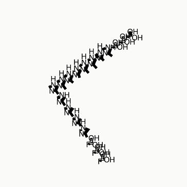 Cc1c[nH]cn1.Cc1c[nH]cn1.Cc1c[nH]cn1.Cc1c[nH]cn1.Cc1c[nH]cn1.Cc1c[nH]cn1.Cc1c[nH]cn1.Cc1c[nH]cn1.Cc1c[nH]cn1.Cc1c[nH]cn1.Cc1c[nH]cn1.Cc1c[nH]cn1.OB(O)F.OB(O)F.OB(O)F.OB(O)F.OB(O)F.OB(O)F